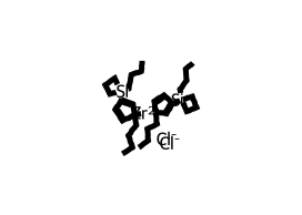 CCCC[C]1([Zr+2][C]2(CCCC)C=CC([Si]3(CCCC)CCC3)=C2)C=CC([Si]2(CCCC)CCC2)=C1.[Cl-].[Cl-]